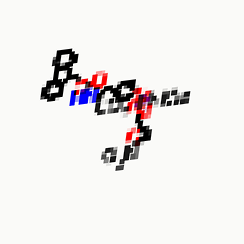 CNP(=O)(OCc1ccc([N+](=O)[O-])o1)Oc1ccc(CC(NC(=O)OCC2c3ccccc3-c3ccccc32)C(=O)O)cc1